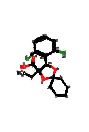 CC[C@]1(C(=O)O)OC2(CCCCC2)O[C@@H]1c1c(Cl)cccc1Cl